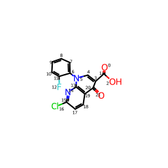 O=C(O)c1cn(-c2ccccc2F)c2nc(Cl)ccc2c1=O